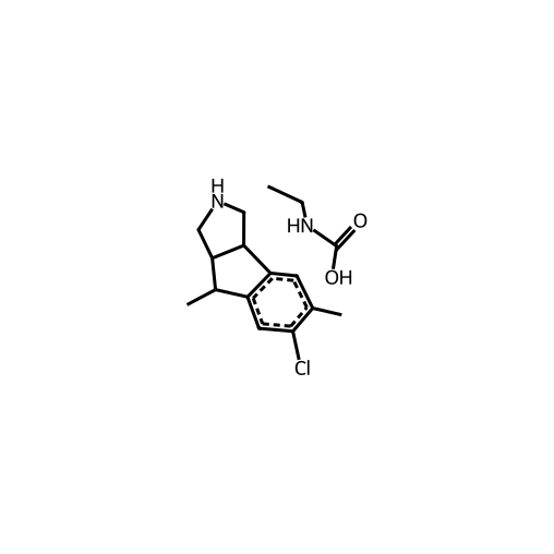 CCNC(=O)O.Cc1cc2c(cc1Cl)C(C)C1CNCC21